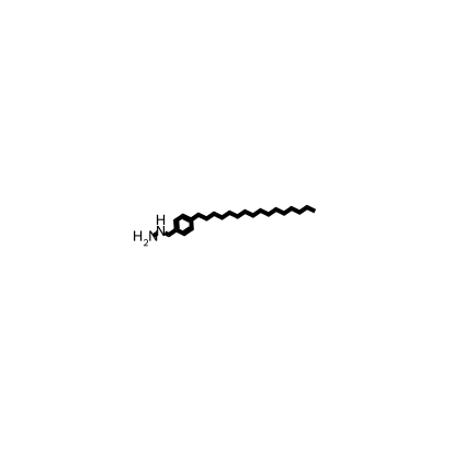 CCCCCCCCCCCCCCCCc1ccc(CNN)cc1